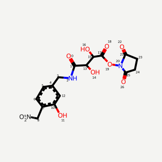 O=C(NCc1ccc(C[N+](=O)[O-])c(O)c1)C(O)C(O)C(=O)ON1C(=O)CCC1=O